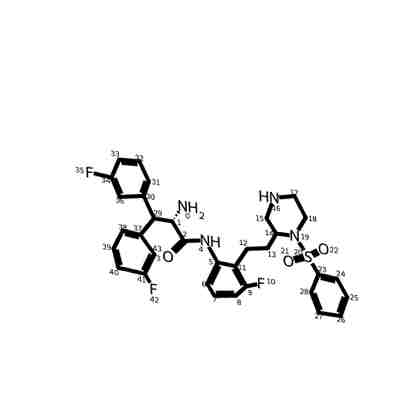 N[C@H](C(=O)Nc1cccc(F)c1CCC1CNCCN1S(=O)(=O)c1ccccc1)C(c1cccc(F)c1)c1cccc(F)c1